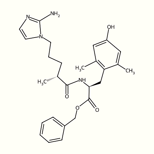 Cc1cc(O)cc(C)c1C[C@H](NC(=O)[C@H](C)CCCn1ccnc1N)C(=O)OCc1ccccc1